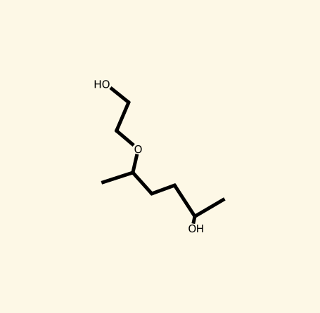 CC(O)CCC(C)OCCO